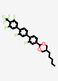 CCCCCC1COC(c2ccc(-c3ccc(-c4cc(F)c(C(F)(F)F)c(F)c4)c(F)c3)c(F)c2)OC1